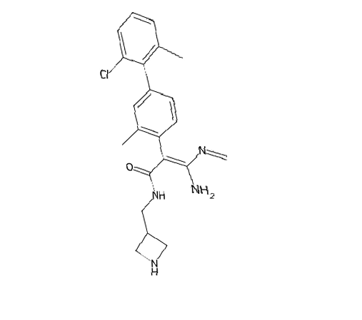 C=N/C(N)=C(/C(=O)NCC1CNC1)c1ccc(-c2c(C)cccc2Cl)cc1C